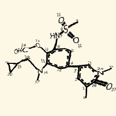 Cc1cc(-c2cc(NS(C)(=O)=O)c(OC=O)c(N(C)CC3CC3)c2)cn(C)c1=O